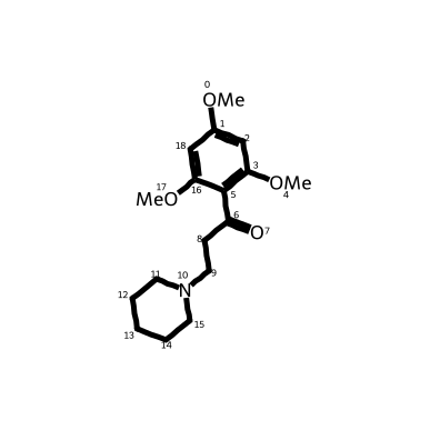 COc1cc(OC)c(C(=O)CCN2CCCCC2)c(OC)c1